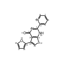 O=c1nc(-c2ccccn2)[nH]c2scc(-c3ccco3)c12